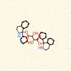 O=C(OC1(c2ccccc2)NCCc2ccccc21)C(O)C(O)C(=O)OC1(c2ccccc2)NCCc2ccccc21